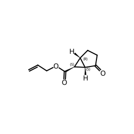 C=CCOC(=O)[C@H]1[C@@H]2CCC(=O)[C@@H]21